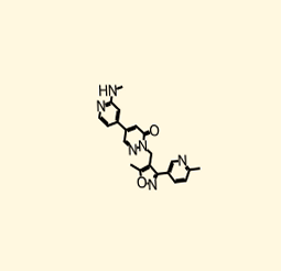 CNc1cc(-c2cnn(Cc3c(-c4ccc(C)nc4)noc3C)c(=O)c2)ccn1